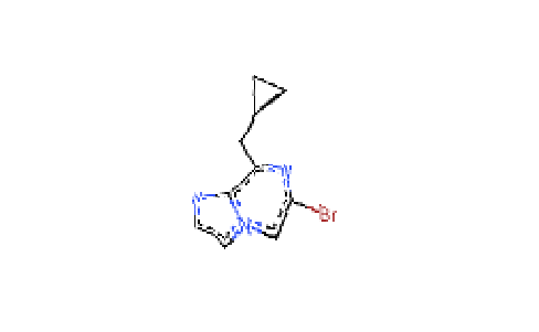 Brc1cn2ccnc2c(CC2CC2)n1